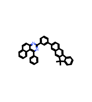 CC1(C)c2ccccc2-c2cc3ccc(-c4cccc(-c5nc(-c6ccccc6)c6c(ccc7ccccc76)n5)c4)cc3cc21